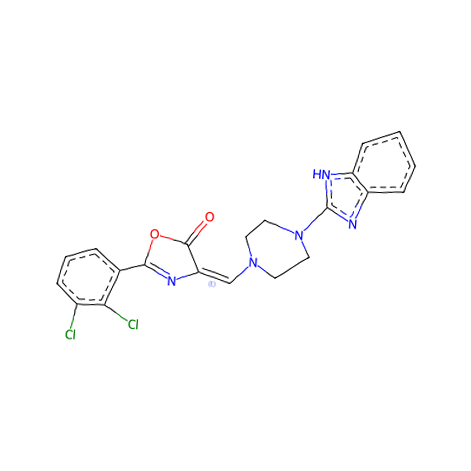 O=C1OC(c2cccc(Cl)c2Cl)=N/C1=C/N1CCN(c2nc3ccccc3[nH]2)CC1